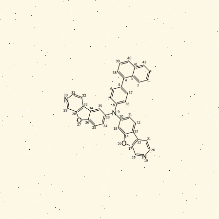 c1ccc2c(-c3ccc(N(c4ccc5c(c4)oc4cnccc45)c4ccc5oc6cnccc6c5c4)cc3)cccc2c1